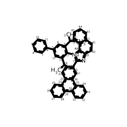 CC(C)c1cc(-c2ccccc2)cc(C(C)C)c1-n1c(-c2ccc3c4ccccc4c4ccccc4c3c2)nc2ccc3ccccc3c21